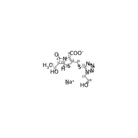 C[C@@H](O)C1C(=O)N2C(C(=O)[O-])=C(CSc3nnnn3CCO)S[C@H]12.[Na+]